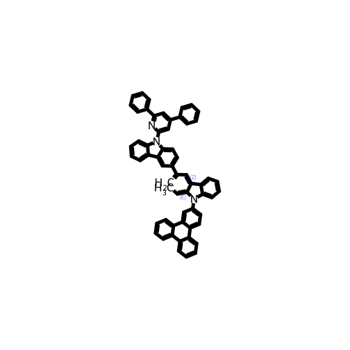 C=C(/C=c1\c(=C/C)n(-c2ccc3c4ccccc4c4ccccc4c3c2)c2ccccc12)c1ccc2c(c1)c1ccccc1n2-c1cc(-c2ccccc2)cc(-c2ccccc2)n1